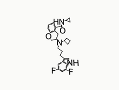 O=C(NC1CC1)c1cccc2c1CC(N(CCCc1c[nH]c3c(F)cc(F)cc13)C1CCC1)CO2